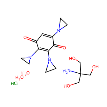 Cl.NC(CO)(CO)CO.O.O.O=C1C=C(N2CC2)C(=O)C(N2CC2)=C1N1CC1